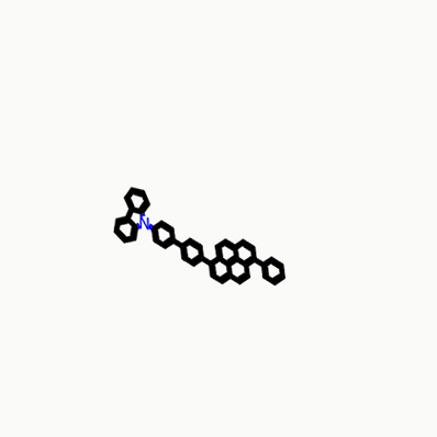 c1ccc(-c2ccc3ccc4c(-c5ccc(-c6ccc(-n7c8ccccc8c8ccccc87)cc6)cc5)ccc5ccc2c3c54)cc1